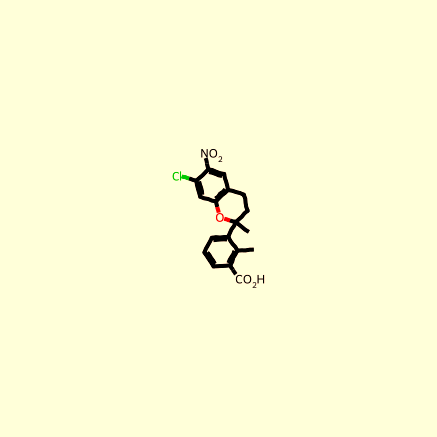 Cc1c(C(=O)O)cccc1C1(C)CCc2cc([N+](=O)[O-])c(Cl)cc2O1